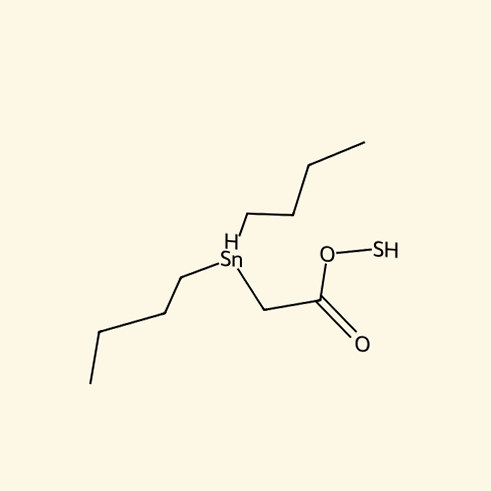 CCC[CH2][SnH]([CH2]CCC)[CH2]C(=O)OS